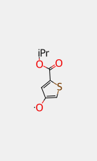 CC(C)OC(=O)c1cc([O])cs1